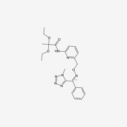 CCOC(C)(OCC)C(=O)Nc1cccc(CO/N=C(/c2ccccc2)c2nnnn2C)n1